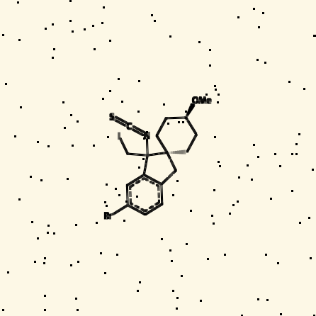 CO[C@H]1CC[C@]2(CC1)Cc1ccc(Br)cc1C2(CI)N=C=S